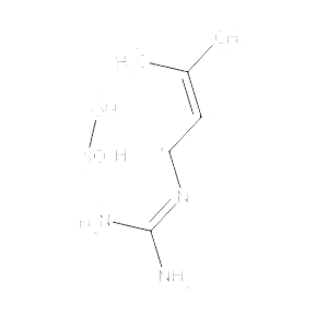 CC(C)=CCN=C(N)N.O=S(=O)(O)O